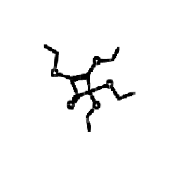 CCOC1=C(OCC)C(OCC)(OCC)C1=O